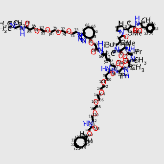 CC[C@H](C)[C@@H]([C@@H](CC(=O)N1CCC[C@H]1[C@H](OC)[C@@H](C)C(=O)N[C@H](C)[C@@H](O)c1ccccc1)OC)N(C)C(=O)[C@@H](NC(=O)[C@H](C(C)C)N(C)C(=O)[C@H](C)NC(=O)[C@@H](NC(=O)[C@@H](CCCCNC(=O)COC1CCCCCc2c1nnn2CCOCCOCCOCCOCCC(=O)NCC[N+](C)(C)C)NC(=O)CCOCCOCCOCCOCCNC(=O)CO[C@@H]1[C@@H]2CCC#CCC[C@@H]21)C(C)C)C(C)C